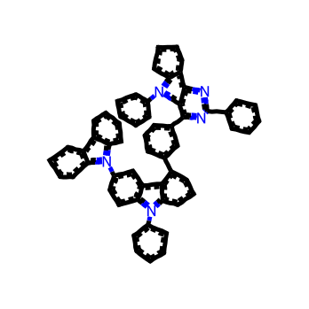 c1ccc(-c2nc(-c3cccc(-c4cccc5c4c4cc(-n6c7ccccc7c7ccccc76)ccc4n5-c4ccccc4)c3)c3c(n2)c2ccccc2n3-c2ccccc2)cc1